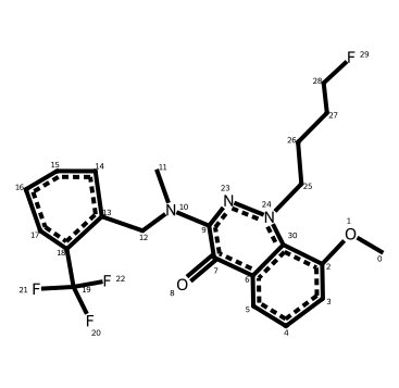 COc1cccc2c(=O)c(N(C)Cc3ccccc3C(F)(F)F)nn(CCCCF)c12